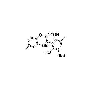 Cc1ccc(OC(CO)Sc2cc(C)cc(C(C)(C)C)c2O)c(C(C)(C)C)c1